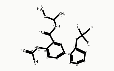 COC(C)NC(=O)c1ccccc1NC(=O)S.FC(F)(F)Cc1ccccc1